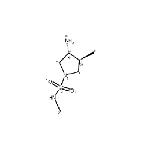 CNS(=O)(=O)N1C[C@H](C)[C@@H](N)C1